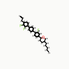 C=CCc1ccc(-c2ccc(-c3ccc(C4CCC(CCCCC)CO4)cc3F)cc2)c(F)c1F